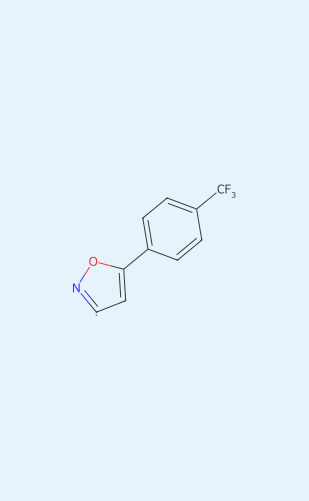 FC(F)(F)c1ccc(-c2c[c]no2)cc1